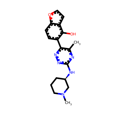 Cc1nc(N[C@@H]2CCCN(C)C2)nnc1-c1ccc2occc2c1O